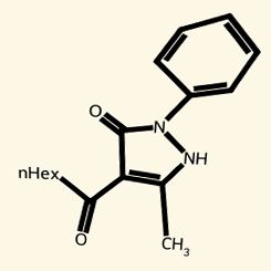 CCCCCCC(=O)c1c(C)[nH]n(-c2ccccc2)c1=O